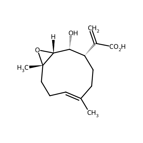 C=C(C(=O)O)[C@@H]1CC/C(C)=C/CC[C@]2(C)O[C@@H]2[C@@H]1O